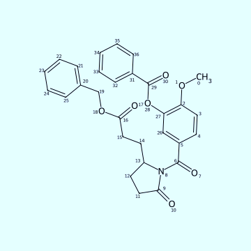 COc1ccc(C(=O)N2C(=O)CCC2CCC(=O)OCc2ccccc2)cc1OC(=O)c1ccccc1